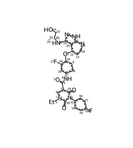 CCn1cc(C(=O)Nc2ccc(Oc3ccnc4[nH]nc(N[C@H](C)CO)c34)c(F)c2)c(=O)n(-c2ccc(F)cc2)c1=O